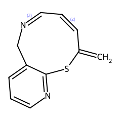 C=C1/C=C\C=N/Cc2cccnc2S1